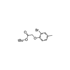 Cc1ccc(OCC(=O)OC(C)(C)C)c(Br)c1